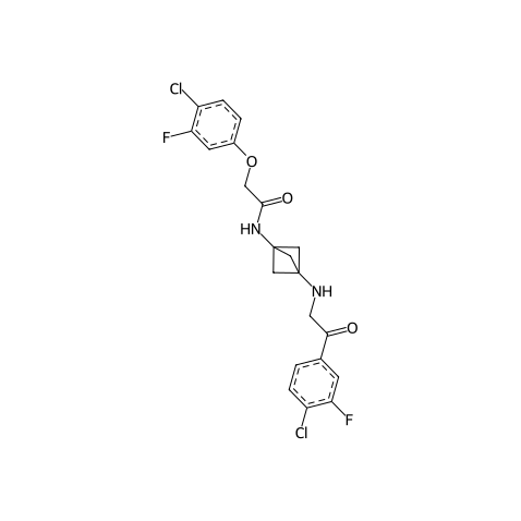 O=C(COc1ccc(Cl)c(F)c1)NC12CC(NCC(=O)c3ccc(Cl)c(F)c3)(C1)C2